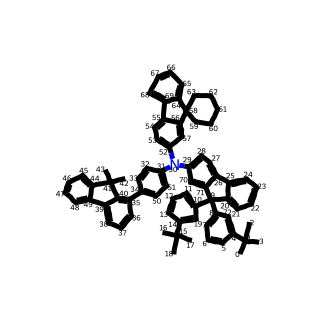 CC(C)(C)c1cccc(C2(c3cccc(C(C)(C)C)c3)c3ccccc3-c3ccc(N(c4ccc(-c5cccc6c5C(C)(C)c5ccccc5-6)cc4)c4ccc5c(c4)C4(CCCCC4)c4ccccc4-5)cc32)c1